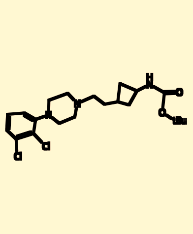 CC(C)(C)OC(=O)NC1CC(CCN2CCN(c3cccc(Cl)c3Cl)CC2)C1